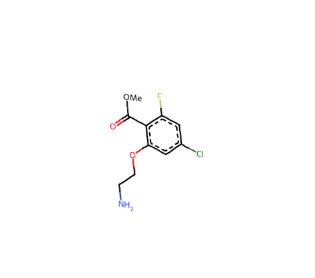 COC(=O)c1c(F)cc(Cl)cc1OCCN